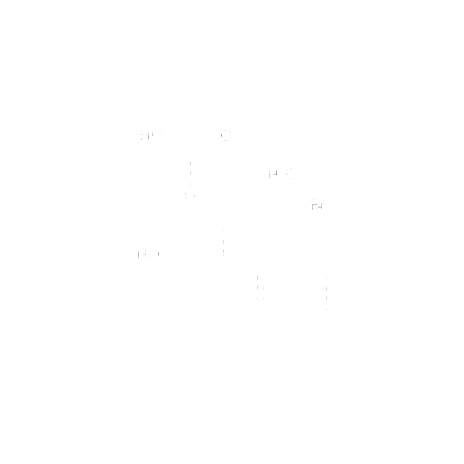 CBr.O=C(O)OCC(=CO)c1ccccc1